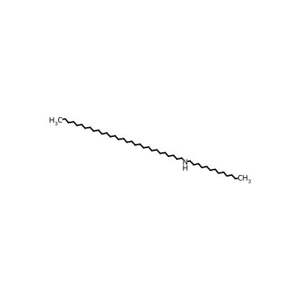 CCCCCCCCCCCCCCCCCCCCCCCCCCCCCCNCCCCCCCCCCCCC